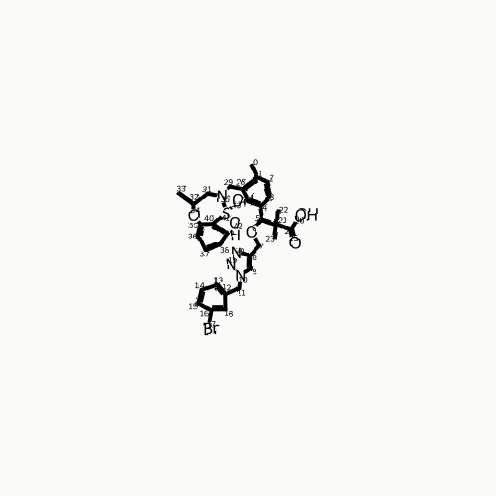 Cc1ccc(C(OCc2cn(Cc3cccc(Br)c3)nn2)C(C)(C)C(=O)O)cc1CN1CC(C)Oc2ccccc2S1(O)O